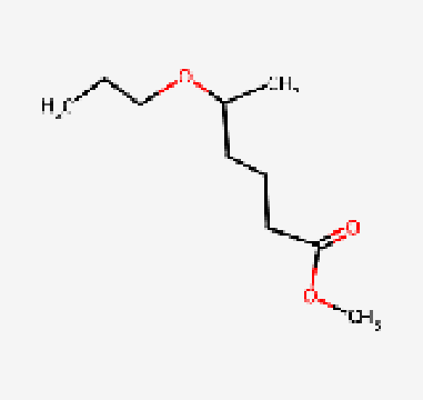 CCCOC(C)CCCC(=O)OC